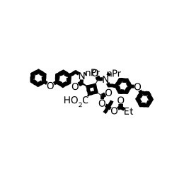 CCCN(Cc1ccc(Oc2ccccc2)cc1)C(=O)[C@@H]1[C@H](C(=O)O)[C@@H](C(=O)OC(C)(C)OC(=O)CC)[C@H]1C(=O)N(CCC)Cc1ccc(Oc2ccccc2)cc1